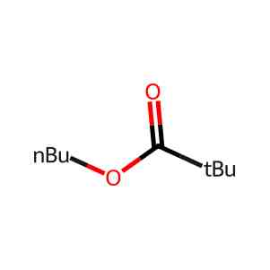 [CH2]C(C)(C)C(=O)OCCCC